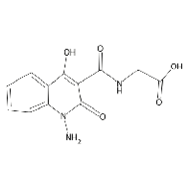 Nn1c(=O)c(C(=O)NCC(=O)O)c(O)c2ccccc21